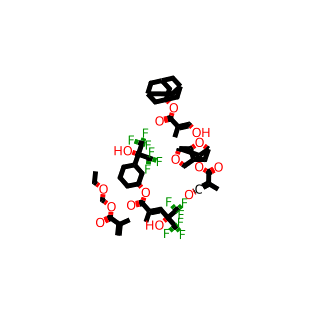 C=C(C)C(=O)OCOCC.CC(=C=O)C(=O)OC1C2CC3COC1C3O2.CC(=CC(O)(C(F)(F)F)C(F)(F)F)C(=O)OC1CCCC(C(O)(C(F)(F)F)C(F)(F)F)C1.CC(=CO)C(=O)OC12CC3CC(CC(C3)C1)C2